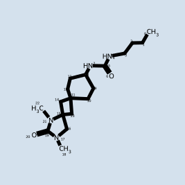 CCCCNC(=O)NC1CCC2(CC1)CC1(CN(C)C(=O)N1C)C2